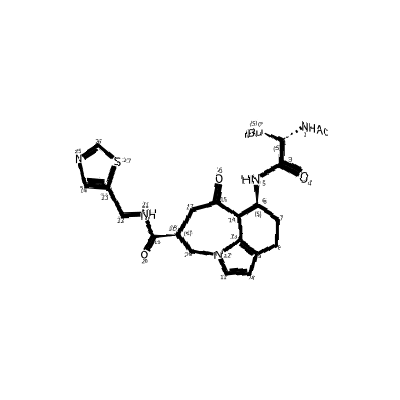 CC[C@H](C)[C@H](NC(C)=O)C(=O)N[C@H]1CCc2ccn3c2C1C(=O)C[C@H](C(=O)NCc1cncs1)C3